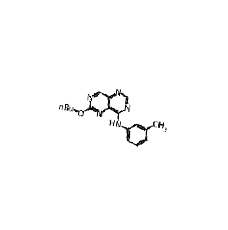 CCCCOc1ncc2ncnc(Nc3cccc(C)c3)c2n1